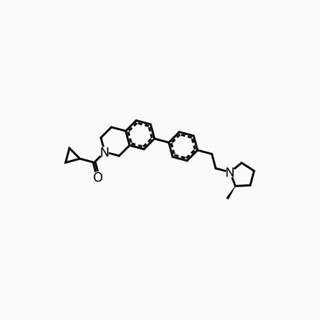 C[C@@H]1CCCN1CCc1ccc(-c2ccc3c(c2)CN(C(=O)C2CC2)CC3)cc1